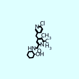 Cc1nc(C(=O)N[C@H]2CCCC[C@@H]2O)cc(Cc2ccc(Cl)nc2)c1C